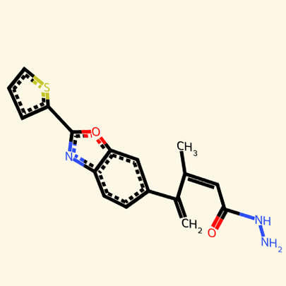 C=C(/C(C)=C\C(=O)NN)c1ccc2nc(-c3cccs3)oc2c1